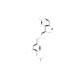 Oc1cc(CNC=C2CN=Cc3ccc(I)cc32)ccc1OC(F)F